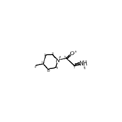 CC1CCN(C(=O)C=N)CC1